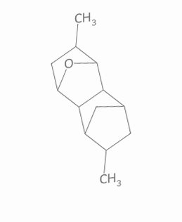 CC1CC2CC1C1C3CC(C)C(O3)C21